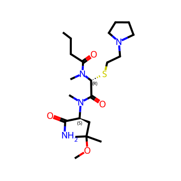 CCCC(=O)N(C)[C@H](SCCN1CCCC1)C(=O)N(C)[C@@H](CC(C)(C)OC)C(N)=O